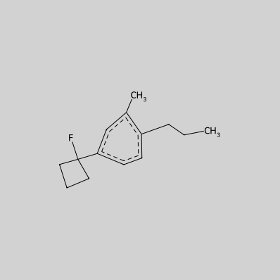 CCCc1ccc(C2(F)CCC2)cc1C